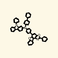 c1ccc(-c2ccc(N(c3ccc(-c4cc5oc(-c6ccccc6)nc5c5c4oc4ccccc45)cc3)c3ccc4c5ccccc5n(-c5ccccc5)c4c3)cc2)cc1